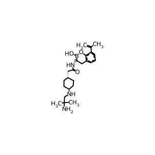 C=C(C)c1cccc2c1OB(O)[C@@H](NC(=O)C[C@H]1CC[C@H](NCC(C)(C)N)CC1)C2